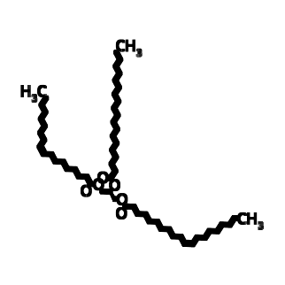 CCCCCCCC/C=C\CCCCCCCCCC(=O)OC[C@@H](COC(=O)CCCCCCC/C=C\CCCCCCCC)OC(=O)CCCCCCCCCCCCCCCCCCC